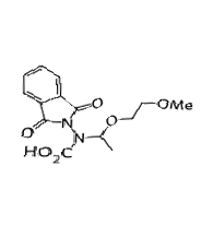 COCCOC(C)N(C(=O)O)N1C(=O)c2ccccc2C1=O